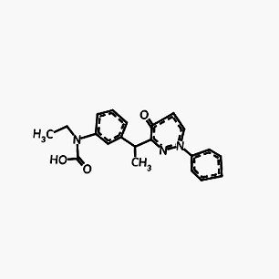 CCN(C(=O)O)c1cccc(C(C)c2nn(-c3ccccc3)ccc2=O)c1